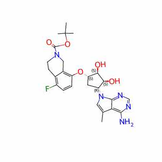 Cc1cn([C@@H]2C[C@H](Oc3ccc(F)c4c3CN(C(=O)OC(C)(C)C)CC4)[C@@H](O)[C@H]2O)c2ncnc(N)c12